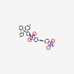 Cc1ccc(C2(c3ccc(N4C(=O)c5ccc(C#Cc6ccc7c(c6)C(=O)N(C)C7=O)cc5C4=O)cc3)c3ccccc3-c3ccccc32)cc1